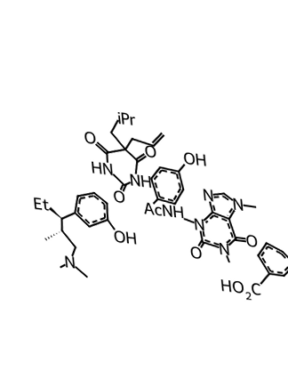 C=CCC1(CC(C)C)C(=O)NC(=O)NC1=O.CC(=O)Nc1ccc(O)cc1.CC[C@@H](c1cccc(O)c1)[C@@H](C)CN(C)C.Cn1c(=O)c2c(ncn2C)n(C)c1=O.O=C(O)c1cccnc1